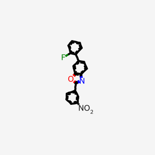 O=[N+]([O-])c1cccc(-c2nc3ccc(-c4ccccc4F)cc3o2)c1